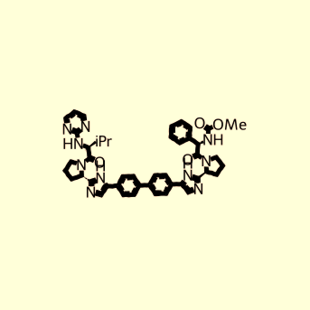 COC(=O)N[C@@H](C(=O)N1CCC[C@H]1c1ncc(-c2ccc(-c3ccc(-c4cnc([C@@H]5CCCN5C(=O)[C@@H](Nc5ncccn5)C(C)C)[nH]4)cc3)cc2)[nH]1)c1ccccc1